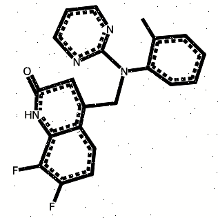 Cc1ccccc1N(Cc1cc(=O)[nH]c2c(F)c(F)ccc12)c1ncccn1